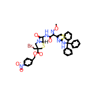 CON=C(C(=O)NC1C(=O)N2CC(CBr)(C(=O)OCc3ccc([N+](=O)[O-])cc3)CS[C@H]12)c1csc(NC(c2ccccc2)(c2ccccc2)c2ccccc2)n1